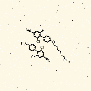 CCCCCCCOc1ccc(-c2c(F)cc(C#N)cc2Cl)cc1.Cc1ccc(-c2c(Cl)cc(C#N)cc2Cl)cc1